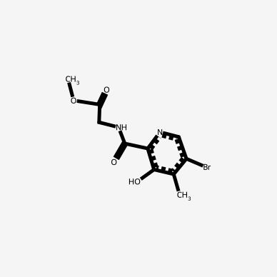 COC(=O)CNC(=O)c1ncc(Br)c(C)c1O